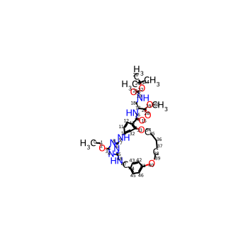 CCOc1nc2nc(n1)Nc1ccc(C(=O)N[C@@H](CNC(=O)OC(C)(C)C)C(=O)OC)c(c1)OCCCCCCOc1ccc(cc1)CN2